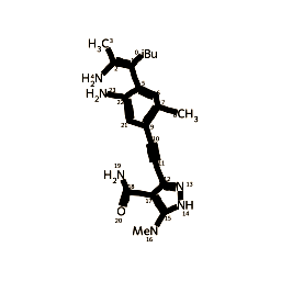 CCC(C)/C(=C(\C)N)c1cc(C)c(C#Cc2n[nH]c(NC)c2C(N)=O)cc1N